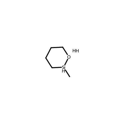 C[SiH]1CCCCO1.[HH]